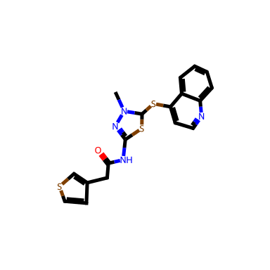 CN1N=C(NC(=O)Cc2ccsc2)SC1Sc1ccnc2ccccc12